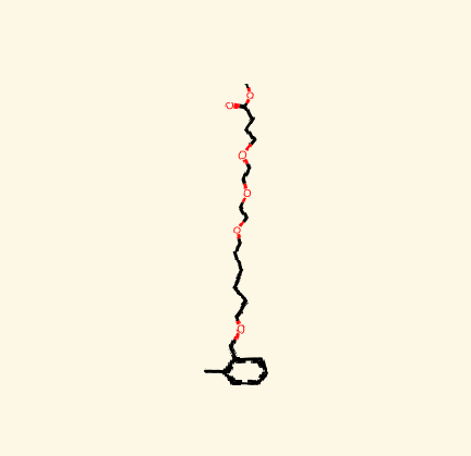 COC(=O)CCCOCCOCCOCCCCCCOCc1ccccc1C